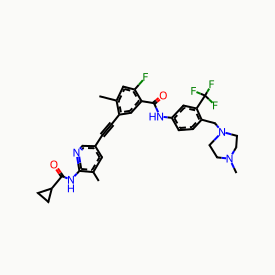 Cc1cc(F)c(C(=O)Nc2ccc(CN3CCN(C)CC3)c(C(F)(F)F)c2)cc1C#Cc1cnc(NC(=O)C2CC2)c(C)c1